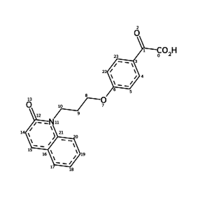 O=C(O)C(=O)c1ccc(OCCCn2c(=O)ccc3ccccc32)cc1